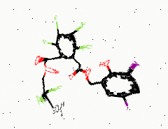 O=C(OCc1cc(I)cc(I)c1O)c1c(F)c(F)c(F)c(F)c1C(=O)OCC(F)(F)S(=O)(=O)O